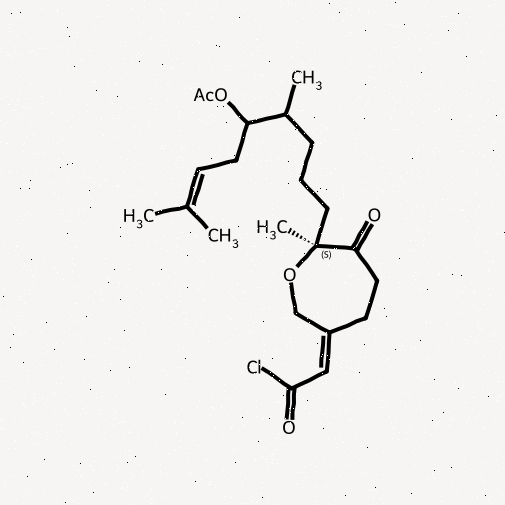 CC(=O)OC(CC=C(C)C)C(C)CCC[C@]1(C)OCC(=CC(=O)Cl)CCC1=O